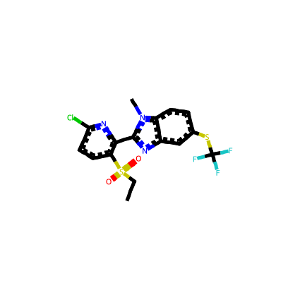 CCS(=O)(=O)c1ccc(Cl)nc1-c1nc2cc(SC(F)(F)F)ccc2n1C